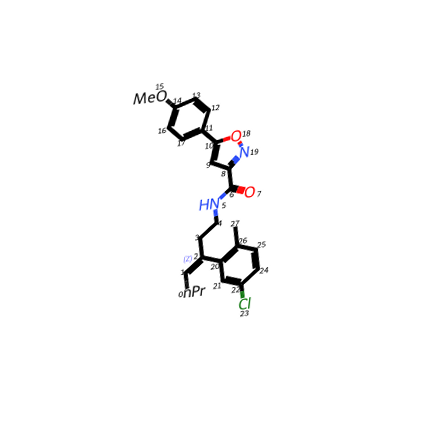 CCC/C=C(/CCNC(=O)c1cc(-c2ccc(OC)cc2)on1)c1cc(Cl)ccc1C